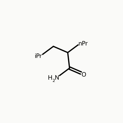 CCCC(CC(C)C)C(N)=O